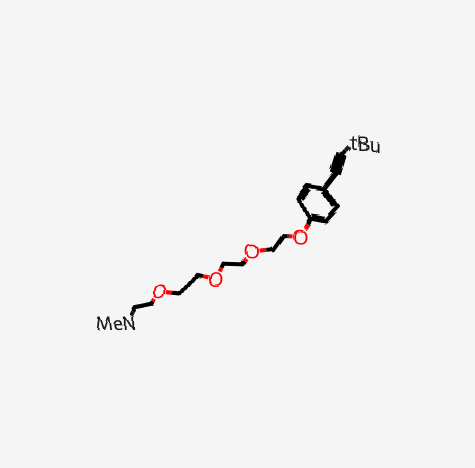 CNCCOCCOCCOCCOc1ccc(C#CC(C)(C)C)cc1